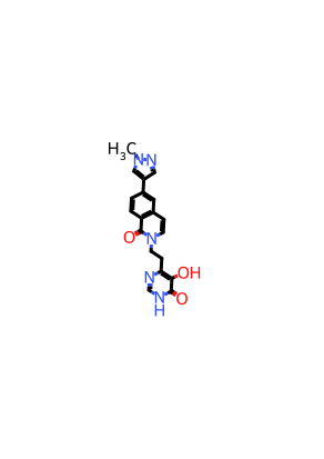 Cn1cc(-c2ccc3c(=O)n(CCc4nc[nH]c(=O)c4O)ccc3c2)cn1